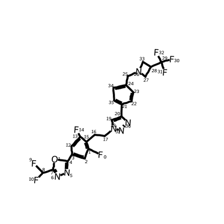 Fc1cc(-c2nnc(C(F)F)o2)cc(F)c1CCn1cc(-c2ccc(CN3CC(C(F)(F)F)C3)cc2)nn1